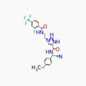 CCc1ccc(C(C#N)NC(=O)C2=CN(CCNC(=O)c3ccc(C(F)(F)F)cc3F)NN2)cc1